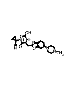 CN1CCN(c2ccc3nc(CC(NC(=O)O)C(=O)NC4(C#N)CC4)oc3c2)CC1